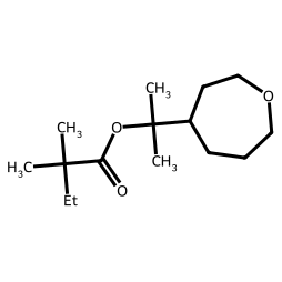 CCC(C)(C)C(=O)OC(C)(C)C1CCCOCC1